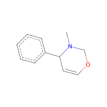 CN1COC=CC1c1ccccc1